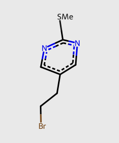 CSc1ncc(CCBr)cn1